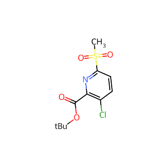 CC(C)(C)OC(=O)c1nc(S(C)(=O)=O)ccc1Cl